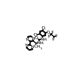 C[C@H](NC(=O)Nc1cc(OC(F)(F)C(F)F)c(Cl)cc1Cl)c1nccnc1-c1ncccn1